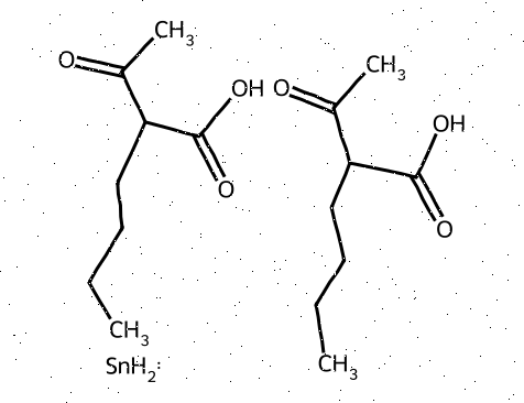 CCCCC(C(C)=O)C(=O)O.CCCCC(C(C)=O)C(=O)O.[SnH2]